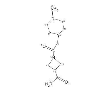 NC(=O)C1CN(C(=O)CC2CCN(N)CC2)C1